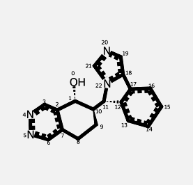 O[C@H]1c2cnncc2CC[C@@H]1[C@H]1c2ccccc2-c2cncn21